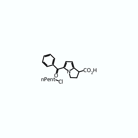 CCCCCCl.O=C(c1ccccc1)c1ccc2n1CCC2C(=O)O